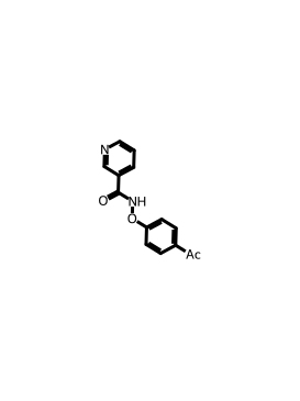 CC(=O)c1ccc(ONC(=O)c2cccnc2)cc1